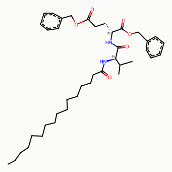 CCCCCCCCCCCCCCCC(=O)N[C@@H](C(=O)N[C@H](CCC(=O)OCc1ccccc1)C(=O)OCc1ccccc1)C(C)C